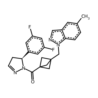 Cc1ccc2c(cnn2CC23CC(C(=O)N4N=CC[C@H]4c4cc(F)cc(F)c4)(C2)C3)c1